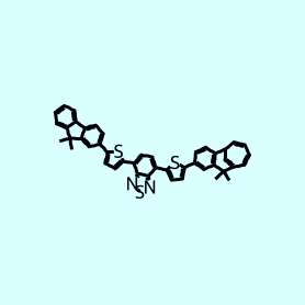 CC1(C)C2=CC(C=CC=C2)c2ccc(-c3ccc(-c4ccc(-c5ccc(-c6ccc7c(c6)C(C)(C)c6ccccc6-7)s5)c5nsnc45)s3)cc21